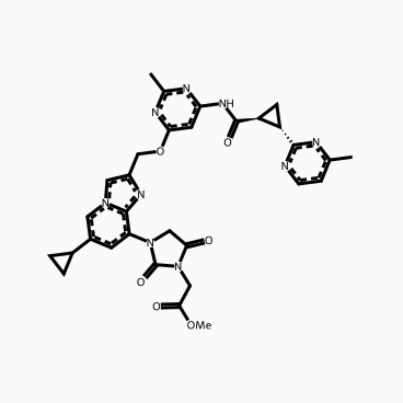 COC(=O)CN1C(=O)CN(c2cc(C3CC3)cn3cc(COc4cc(NC(=O)[C@H]5C[C@@H]5c5nccc(C)n5)nc(C)n4)nc23)C1=O